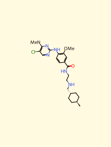 CNc1nc(Nc2ccc(C(=O)NCCNC[C@H]3CC[C@H](C)CC3)cc2OC)ncc1Cl